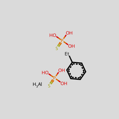 CCc1ccccc1.OP(O)(O)=S.OP(O)(O)=S.[AlH3]